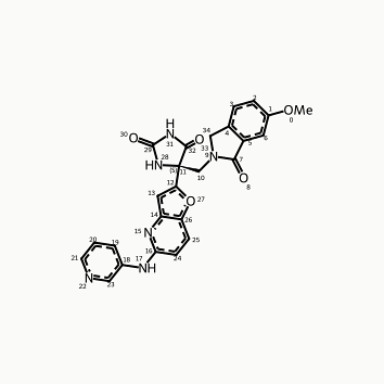 COc1ccc2c(c1)C(=O)N(C[C@@]1(c3cc4nc(Nc5cccnc5)ccc4o3)NC(=O)NC1=O)C2